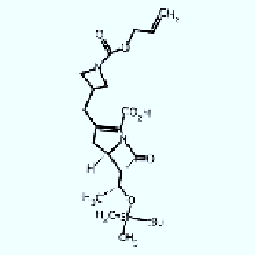 C=CCOC(=O)N1CC(CC2=C(C(=O)O)N3C(=O)[C@H]([C@@H](C)O[Si](C)(C)C(C)(C)C)[C@H]3C2)C1